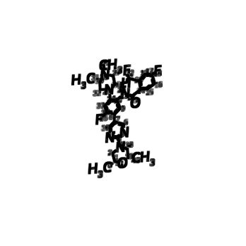 C[C@@H]1CN(c2ncc(-c3cc(NC(=O)c4ccc(F)cc4C(F)F)c(N4CCN(C)[C@@H](C)C4)cc3F)cn2)C[C@H](C)O1